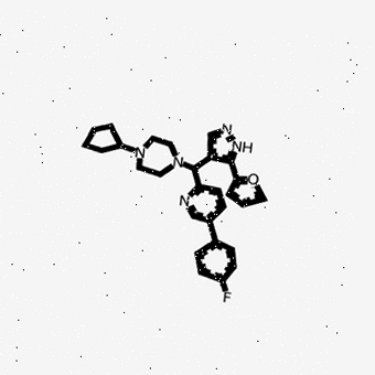 Fc1ccc(-c2ccc(C(c3cn[nH]c3-c3ccco3)N3CCN(C4CCCC4)CC3)nc2)cc1